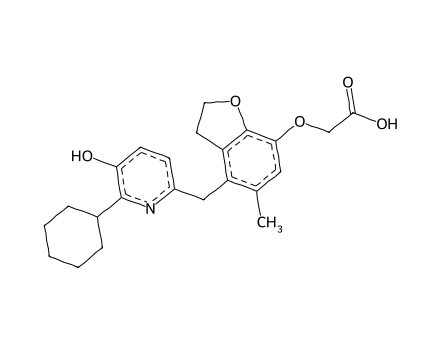 Cc1cc(OCC(=O)O)c2c(c1Cc1ccc(O)c(C3CCCCC3)n1)CCO2